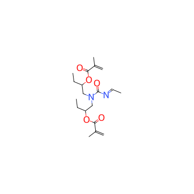 C=C(C)C(=O)OC(CC)CN(CC(CC)OC(=O)C(=C)C)C(=O)N=CC